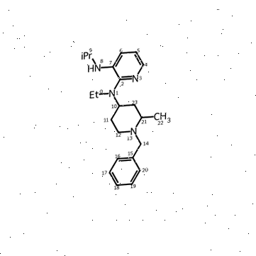 CCN(c1ncccc1NC(C)C)C1CCN(Cc2ccccc2)C(C)C1